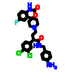 Nc1ccc(CNC(=O)C(CCN2CCC3(CC2)OC(=O)Nc2ccc(F)cc23)c2ccc(Cl)c(Cl)c2)cc1